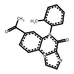 CC(=O)c1ccc2c(c1)n(-c1ccccc1C)c(=O)c1nccn12